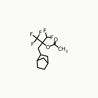 CC(=O)OC(CC1CC2CCC1C2)(C(F)F)C(F)(F)F